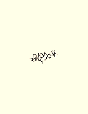 CC(C)(C)OC(=O)n1cc(I)c2c(Oc3ccc([N+](=O)[O-])cc3F)ccnc21